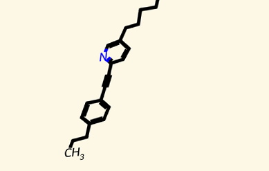 CCCCCCc1ccc(C#Cc2ccc(CCC)cc2)nc1